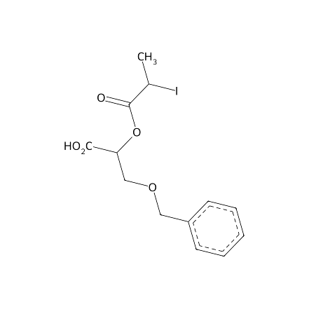 CC(I)C(=O)OC(COCc1ccccc1)C(=O)O